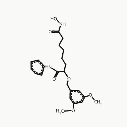 COc1cc(COC(CCCCCC(=O)NO)C(=O)Nc2ccccc2)cc(OC)c1